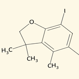 Cc1c(I)cc(I)c2c1C(C)(C)CO2